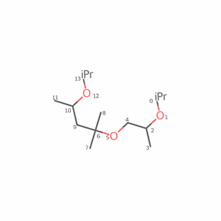 CC(C)OC(C)COC(C)(C)CC(C)OC(C)C